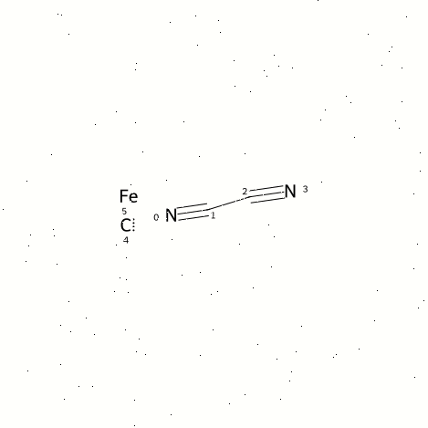 N#CC#N.[C].[Fe]